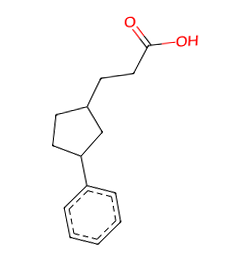 O=C(O)CCC1CCC(c2ccccc2)C1